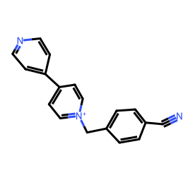 N#Cc1ccc(C[n+]2ccc(-c3ccncc3)cc2)cc1